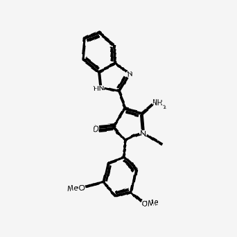 COc1cc(OC)cc(C2C(=O)C(c3nc4ccccc4[nH]3)=C(N)N2C)c1